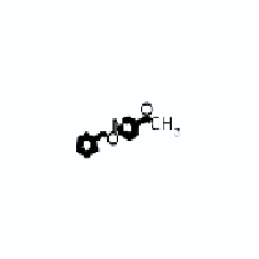 CC(=O)c1ccc(OCc2ccccc2)nc1